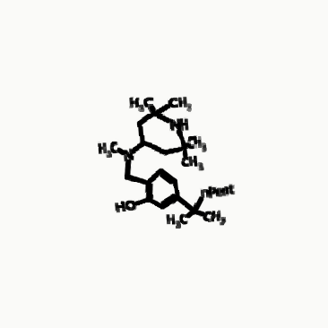 CCCCCC(C)(C)c1ccc(CN(C)C2CC(C)(C)NC(C)(C)C2)c(O)c1